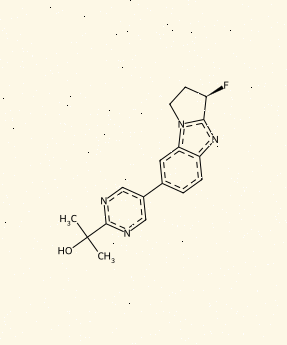 CC(C)(O)c1ncc(-c2ccc3nc4n(c3c2)CC[C@H]4F)cn1